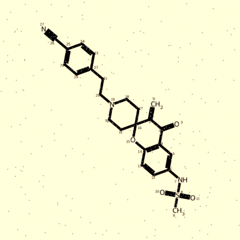 C=C1C(=O)c2cc(NS(C)(=O)=O)ccc2OC12CCN(CCc1ccc(C#N)cc1)CC2